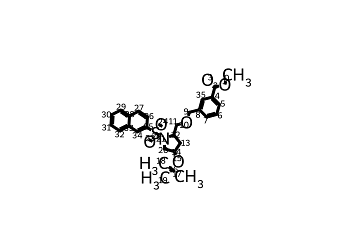 COC(=O)c1cccc(COCC2CC(OC(C)(C)C)CN2S(=O)(=O)c2ccc3ccccc3c2)c1